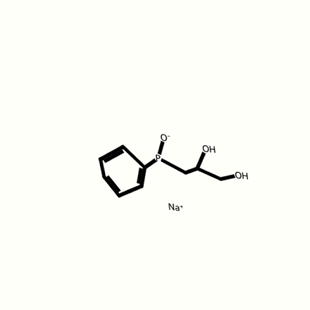 [Na+].[O-]P(CC(O)CO)c1ccccc1